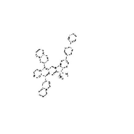 CC1(C)c2ccc(-c3ccc(-c4ccccn4)nc3)cc2-c2cc3c(-c4ccc5ccccc5c4)c4ccccc4c(-c4ccc5ccccc5c4)c3cc21